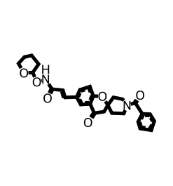 O=C(C=Cc1ccc2c(c1)C(=O)CC1(CCN(C(=O)c3ccccc3)CC1)O2)NOC1CCCCO1